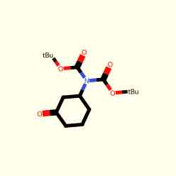 CC(C)(C)OC(=O)N(C(=O)OC(C)(C)C)C1CCCC(=O)C1